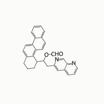 O=COC(Cc1cc2cccnc2cn1)C1CCCc2ccc3c(ccc4ccccc43)c21